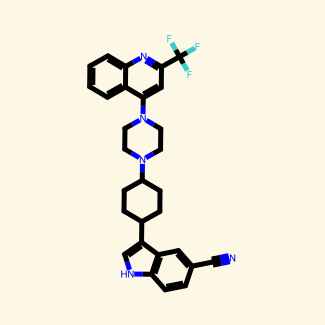 N#Cc1ccc2[nH]cc(C3CCC(N4CCN(c5cc(C(F)(F)F)nc6ccccc56)CC4)CC3)c2c1